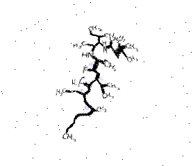 C=C/C=C(\C=C(/C)CCCCC)CC(=C)/C(=C\C(F)=C(/C)NC(C)C(NC(=C)CC(C)(C)C)C(C)CC)C(=C)C